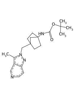 Cc1c2cnccc2nn1CC12CCC(NC(=O)OC(C)(C)C)(CC1)C2